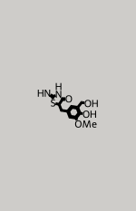 COc1cc(CC2SC(=N)NC2=O)cc(CO)c1O